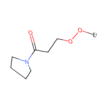 CCOOCCC(=O)N1CCCC1